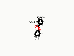 COc1cccc(C(=O)Oc2ccc(C#N)cc2)c1OC